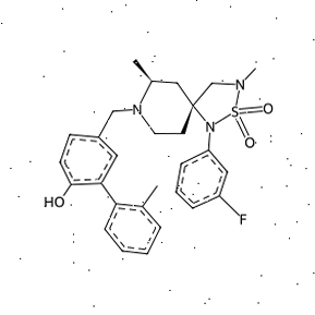 Cc1ccccc1-c1cc(CN2CC[C@@]3(C[C@@H]2C)CN(C)S(=O)(=O)N3c2cccc(F)c2)ccc1O